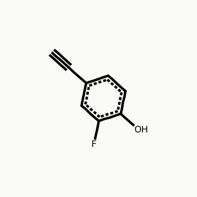 C#Cc1ccc(O)c(F)c1